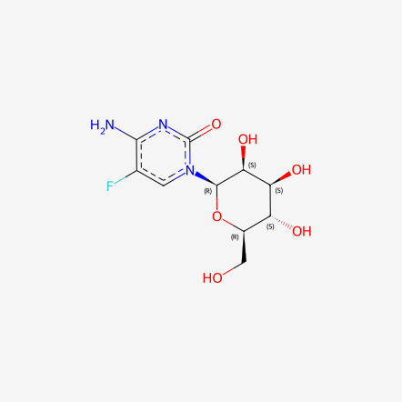 Nc1nc(=O)n([C@@H]2O[C@H](CO)[C@@H](O)[C@H](O)[C@@H]2O)cc1F